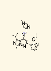 CCOc1ncccc1-c1cc(/N=C/c2cn(C)cn2)c2c(C(C)C)nc(C)n2n1